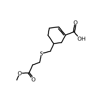 COC(=O)CCSCC1CCC=C(C(=O)O)C1